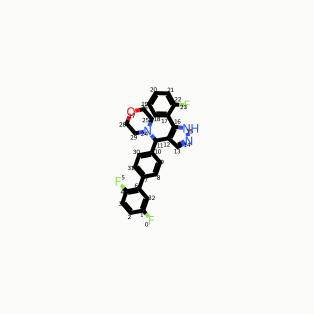 Fc1ccc(F)c(-c2ccc(C(c3cn[nH]c3-c3ccccc3F)N3CCOCC3)cc2)c1